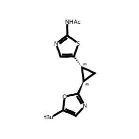 CC(=O)Nc1ncc([C@@H]2C[C@H]2c2ncc(C(C)(C)C)o2)s1